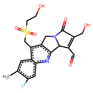 Cc1cc2c(CS(=O)(=O)CCO)c3c(nc2cc1F)C1C(C=O)=C(CO)C(=O)N1C3